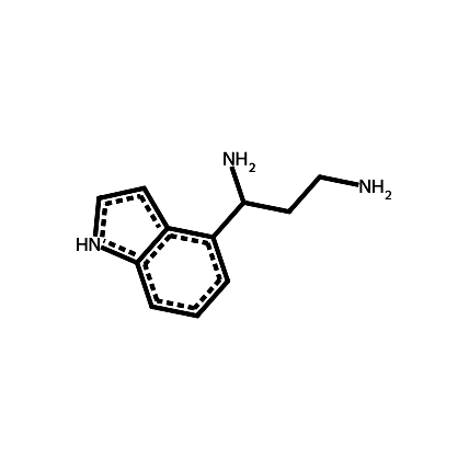 NCCC(N)c1cccc2[nH]ccc12